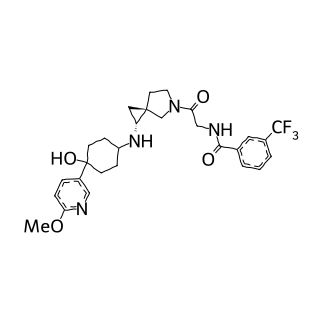 COc1ccc(C2(O)CCC(N[C@@H]3C[C@]34CCN(C(=O)CNC(=O)c3cccc(C(F)(F)F)c3)C4)CC2)cn1